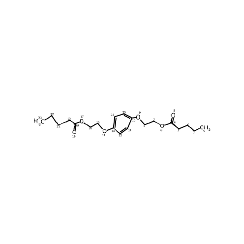 CCCCC(=O)OCCOc1ccc(OCCOC(=O)CCCC)cc1